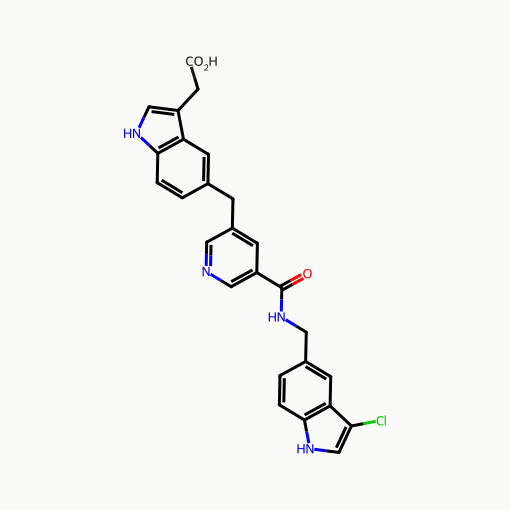 O=C(O)Cc1c[nH]c2ccc(Cc3cncc(C(=O)NCc4ccc5[nH]cc(Cl)c5c4)c3)cc12